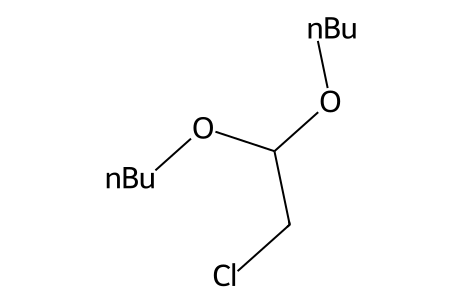 CCCCOC(CCl)OCCCC